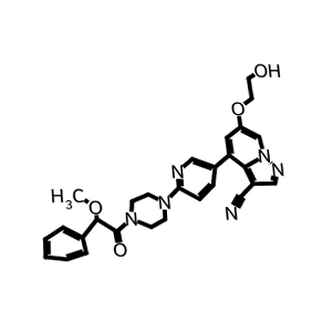 COC(C(=O)N1CCN(c2ccc(-c3cc(OCCO)cn4ncc(C#N)c34)cn2)CC1)c1ccccc1